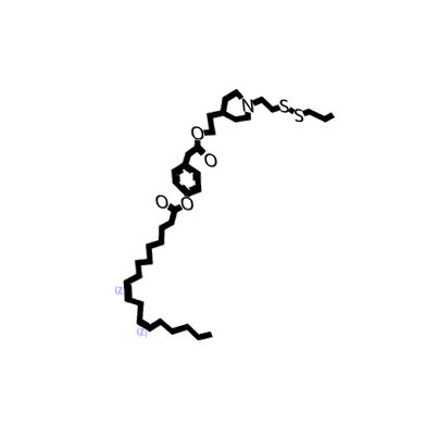 CCCCC/C=C\C/C=C\CCCCCCCC(=O)Oc1ccc(CC(=O)OCCC2CCN(CCSSCCC)CC2)cc1